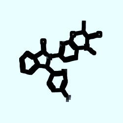 CC1Oc2nc(N3C(=O)c4ccccc4C3c3ccc(F)cn3)ccc2N(C)C1=O